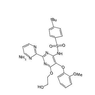 COc1ccccc1Oc1c(NS(=O)(=O)c2ccc(C(C)(C)C)cc2)nc(-c2ncccn2)nc1OCCO.N